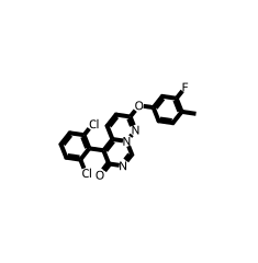 Cc1ccc(Oc2ccc3c(-c4c(Cl)cccc4Cl)c(=O)ncn3n2)cc1F